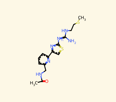 CSCCN/C(N)=N/c1nc(-c2cccc(CNC(C)=O)n2)cs1